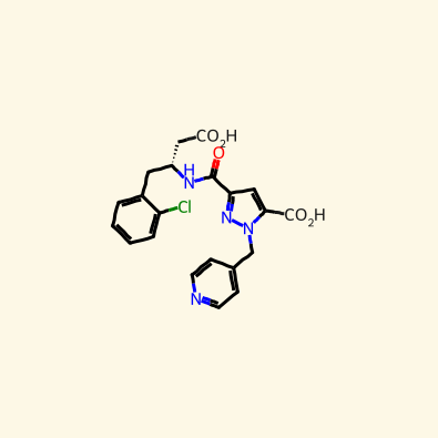 O=C(O)C[C@@H](Cc1ccccc1Cl)NC(=O)c1cc(C(=O)O)n(Cc2ccncc2)n1